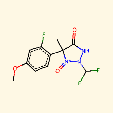 COc1ccc(C2(C)C(=O)NN(C(F)F)[N+]2=O)c(F)c1